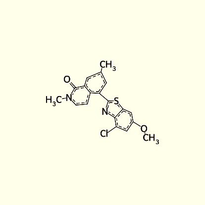 COc1cc(Cl)c2nc(-c3cc(C)cc4c(=O)n(C)ccc34)sc2c1